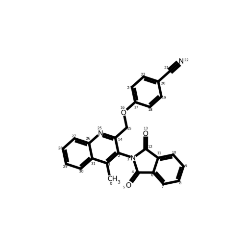 Cc1c(N2C(=O)c3ccccc3C2=O)c(COc2ccc(C#N)cc2)nc2ccccc12